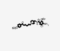 COc1ccc(C(=O)CCCCCN2CCC(CNC(=O)c3cc(Cl)c(N)cc3OC)CC2)cc1